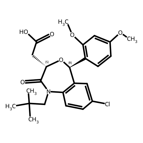 COc1ccc([C@@H]2O[C@@H](CC(=O)O)C(=O)N(CC(C)(C)C)c3ccc(Cl)cc32)c(OC)c1